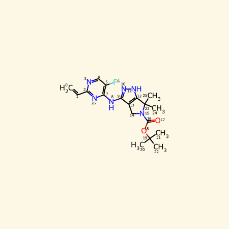 C=Cc1ncc(F)c(Nc2n[nH]c3c2CN(C(=O)OC(C)(C)C)C3(C)C)n1